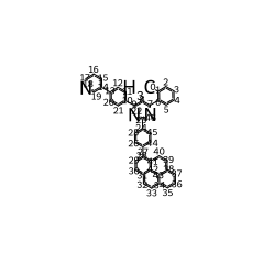 Cc1ccccc1-c1cc(-c2ccc(-c3cccnc3)cc2)nc(-c2ccc(-c3ccc4ccc5cccc6ccc3c4c56)cc2)n1